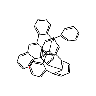 c1ccc(N(c2ccc3c(c2)-c2cccc4c2-c2ccccc2-c2cccc-4c2-3)c2ccccc2-c2ccc3ccccc3c2)cc1